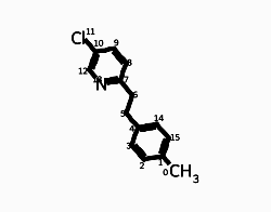 Cc1ccc(CCc2ccc(Cl)cn2)cc1